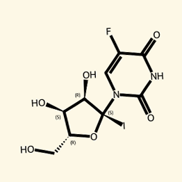 O=c1[nH]c(=O)n([C@]2(I)O[C@H](CO)[C@@H](O)[C@H]2O)cc1F